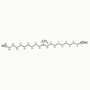 C.CCCCCCCCCCCCCCCCCCCCCCCCCCCCCO